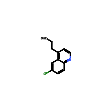 O=CCCc1ccnc2ccc(Cl)cc12